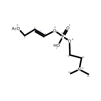 CC(=O)OC/C=C/OP(=O)(O)OCCN(C)C